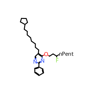 CCCCCC(F)CCOc1nc(-c2ccccc2)ncc1CCCCCCCCC1CCCC1